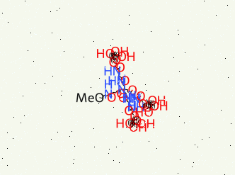 COCCCNC(=O)CCCC(=O)NC(CCC(=O)NCCCNC(=O)CCO[C@@H]1OC(CO)[C@H](O)[C@H](O)C1C)(CCC(=O)NCCCNC(=O)CCO[C@@H]1OC(CO)[C@H](O)[C@H](O)C1C)CCC(=O)NCNC(=O)CCO[C@@H]1OC(CO)[C@H](O)[C@H](O)C1C